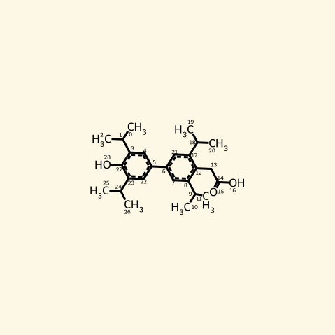 CC(C)c1cc(-c2cc(C(C)C)c(CC(=O)O)c(C(C)C)c2)cc(C(C)C)c1O